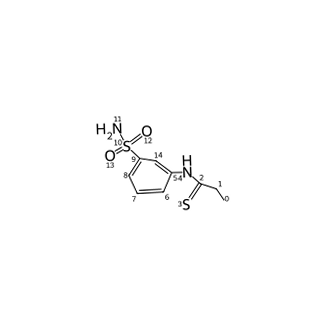 CCC(=S)Nc1cccc(S(N)(=O)=O)c1